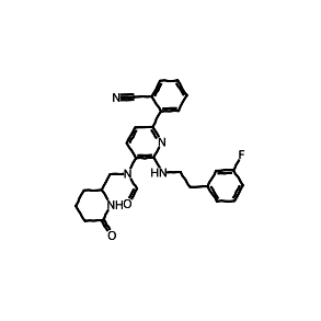 N#Cc1ccccc1-c1ccc(N(C=O)CC2CCCC(=O)N2)c(NCCc2cccc(F)c2)n1